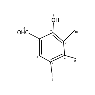 Cc1c(I)cc(C=O)c(O)c1C